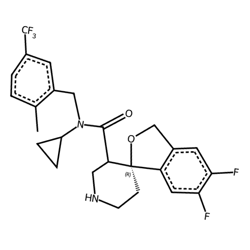 Cc1ccc(C(F)(F)F)cc1CN(C(=O)C1CNCC[C@@]12OCc1cc(F)c(F)cc12)C1CC1